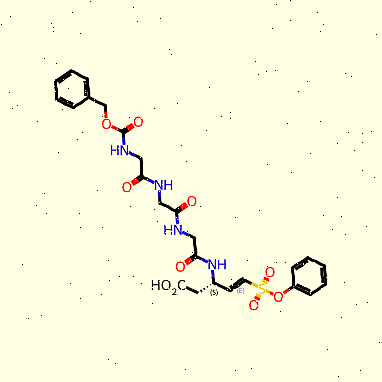 O=C(O)C[C@@H](/C=C/S(=O)(=O)Oc1ccccc1)NC(=O)CNC(=O)CNC(=O)CNC(=O)OCc1ccccc1